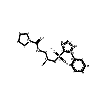 C[C@@H](COC(=O)N1CCCC1)CS(=O)(=O)c1nnnn1-c1ccccc1